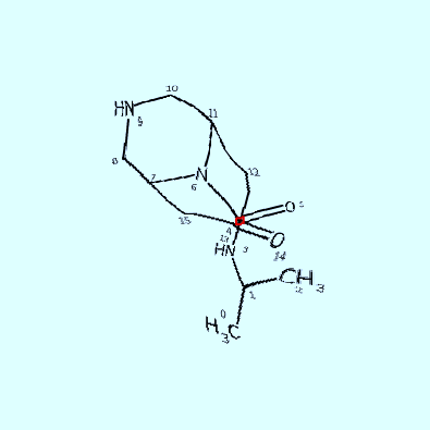 CC(C)NC(=O)N1C2CNCC1CC(=O)C2